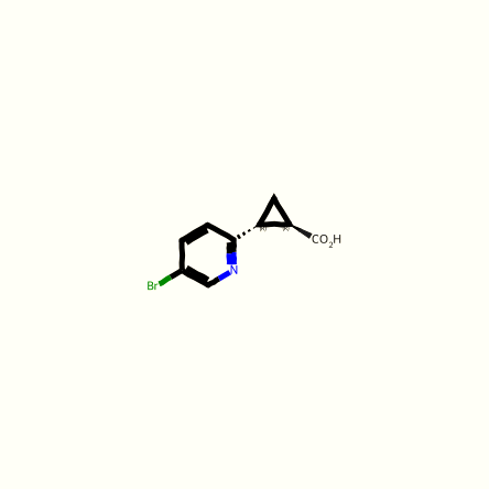 O=C(O)[C@@H]1C[C@H]1c1ccc(Br)cn1